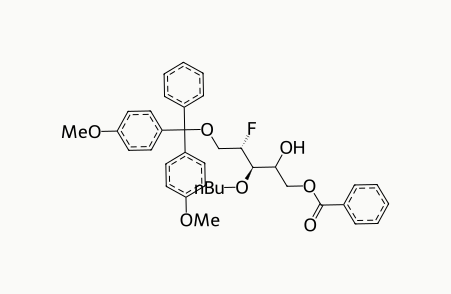 CCCCO[C@H](C(O)COC(=O)c1ccccc1)[C@@H](F)COC(c1ccccc1)(c1ccc(OC)cc1)c1ccc(OC)cc1